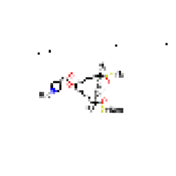 CCCCCCCCCSC(=O)C(C)(C)CCCCCC(CCCCCC(C)(C)C(=O)SCCCCCCCCC)OC(=O)CC1CCN(C)CC1